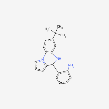 CC(C)(C)c1ccc2c(c1)NC(c1ccccc1N)c1cccn1-2